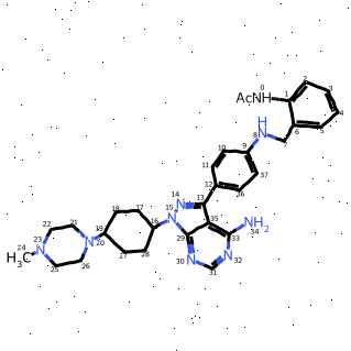 CC(=O)Nc1ccccc1CNc1ccc(-c2nn(C3CCC(N4CCN(C)CC4)CC3)c3ncnc(N)c23)cc1